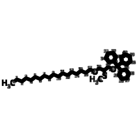 CCCCCCCCCCCCCCCCCCOCC(COC(c1ccccc1)(c1ccccc1)c1ccccc1)SC